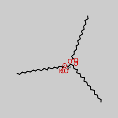 CCCCCCCCCCCCCCCCCC(=O)OC(C(=O)CCCCCCCCCCCCCCCCC)[C@H](CO)OC(=O)CCCCCCCCCCCCCCCCC